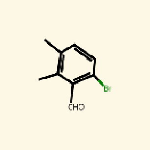 Cc1ccc(Br)c(C=O)c1C